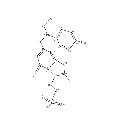 CCN(Cc1cc(=O)n2c(COS(C)(=O)=O)c(C)sc2n1)c1ccc(F)cc1